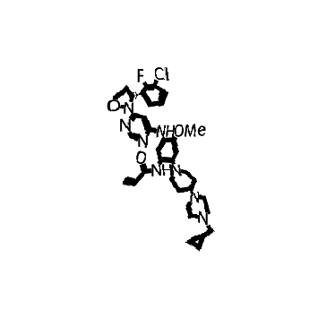 C=CC(=O)Nc1cc(Nc2cc(N3OCC[C@@H]3c3cccc(Cl)c3F)ncn2)c(OC)cc1N1CCC(N2CCN(CC3CC3)CC2)CC1